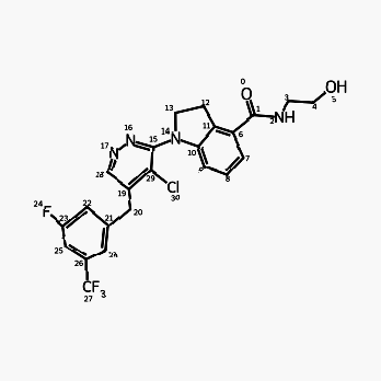 O=C(NCCO)c1cccc2c1CCN2c1nncc(Cc2cc(F)cc(C(F)(F)F)c2)c1Cl